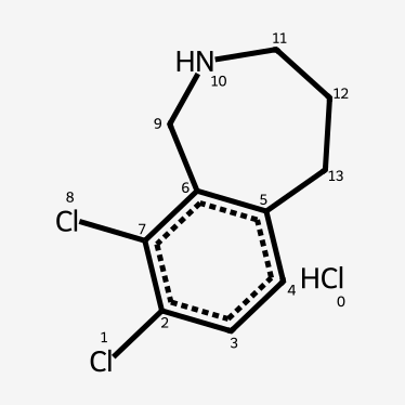 Cl.Clc1ccc2c(c1Cl)CNCCC2